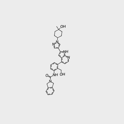 CC1(O)CCC(n2cc(-c3cc4c(-c5cccc(NC(=O)N6Cc7ccccc7C6)c5CO)ccnc4[nH]3)cn2)CC1